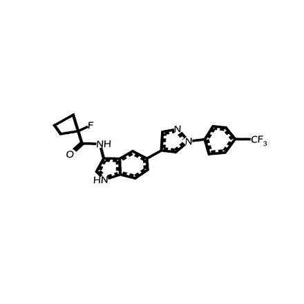 O=C(Nc1c[nH]c2ccc(-c3cnn(-c4ccc(C(F)(F)F)cc4)c3)cc12)C1(F)CCC1